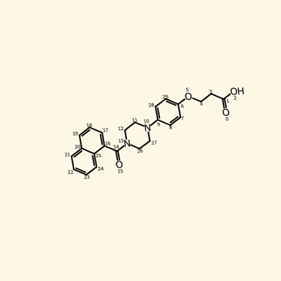 O=C(O)CCOc1ccc(N2CCN(C(=O)c3cccc4ccccc34)CC2)cc1